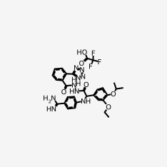 CCOc1cc(C(Nc2ccc(C(=N)N)cc2)C(=O)NNC(=O)c2ccccc2-c2nnn[nH]2)ccc1OC(C)C.O=C(O)C(F)(F)F